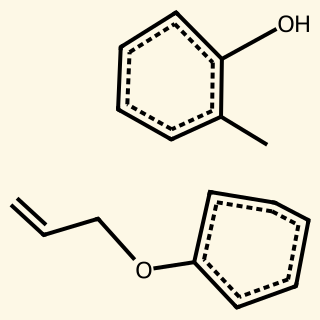 C=CCOc1ccccc1.Cc1ccccc1O